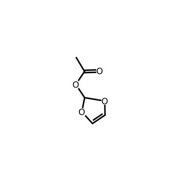 CC(=O)OC1OC=CO1